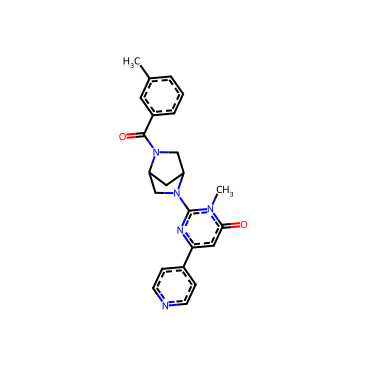 Cc1cccc(C(=O)N2CC3CC2CN3c2nc(-c3ccncc3)cc(=O)n2C)c1